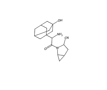 N#CC1CC2CC2N1C(=O)C(N)C12CC3CC(CC(O)(C3)C1)C2